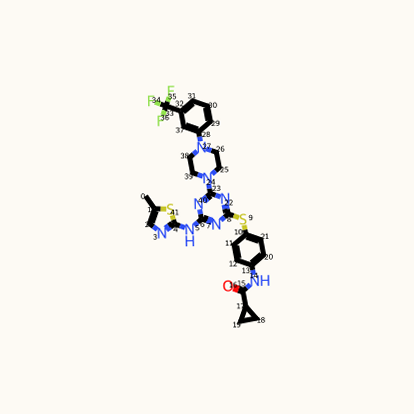 Cc1cnc(Nc2nc(Sc3ccc(NC(=O)C4CC4)cc3)nc(N3CCN(c4cccc(C(F)(F)F)c4)CC3)n2)s1